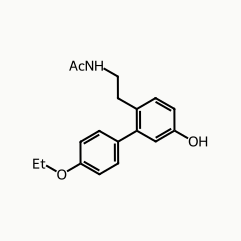 CCOc1ccc(-c2cc(O)ccc2CCNC(C)=O)cc1